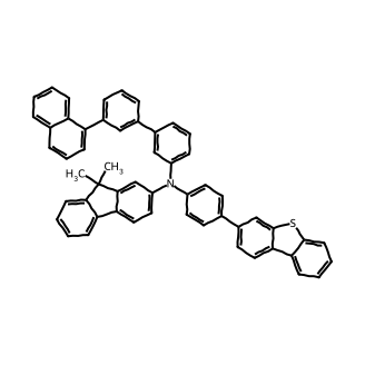 CC1(C)c2ccccc2-c2ccc(N(c3ccc(-c4ccc5c(c4)sc4ccccc45)cc3)c3cccc(-c4cccc(-c5cccc6ccccc56)c4)c3)cc21